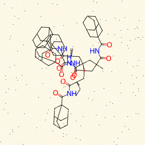 CCC(C)(CC(C)(CC(C)(CC(C)(CC(C)(C)C(=O)NC(=O)C12CC3CC(CC(C3)C1)C2)C(=O)NC(=O)C12CC3CC(CC(C3)C1)C2)C(=O)NC(=O)C12CC3CC(CC(C3)C1)C2)C(=O)NC(=O)C12CC3CC(CC(C3)C1)C2)C(=O)NC(=O)C12CC3CC(CC(C3)C1)C2